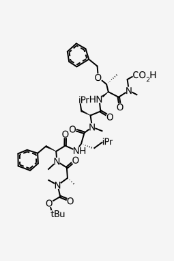 CC(C)C[C@H](NC(=O)[C@H](Cc1ccccc1)N(C)C(=O)[C@H](C)N(C)C(=O)OC(C)(C)C)C(=O)N(C)[C@@H](CC(C)C)C(=O)N[C@H](C(=O)N(C)CC(=O)O)[C@@H](C)OCc1ccccc1